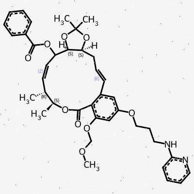 COCOc1cc(OCCCNc2ccccn2)cc2c1C(=O)O[C@@H](C)[C@H](C)/C=C\C(OC(=O)c1ccccc1)[C@H]1OC(C)(C)O[C@H]1C/C=C/2